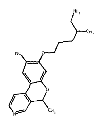 CC(CN)CCCOc1cc2c(cc1C#N)-c1ccncc1C(C)O2